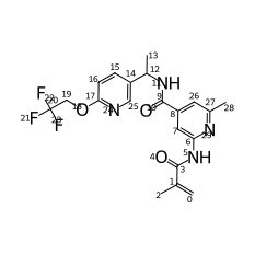 C=C(C)C(=O)Nc1cc(C(=O)NC(C)c2ccc(OCC(F)(F)F)nc2)cc(C)n1